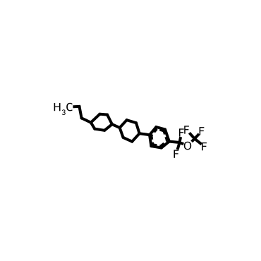 CCCC1CCC(C2CCC(c3ccc(C(F)(F)OC(F)(F)F)cc3)CC2)CC1